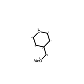 COC[C]1CCOCC1